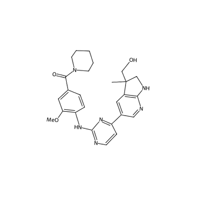 COc1cc(C(=O)N2CCCCC2)ccc1Nc1nccc(-c2cnc3c(c2)C(C)(CO)CN3)n1